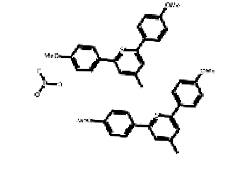 COc1ccc(-c2cc(C)cc(-c3ccc(OC)cc3)[s+]2)cc1.COc1ccc(-c2cc(C)cc(-c3ccc(OC)cc3)[s+]2)cc1.[O-]B([O-])F